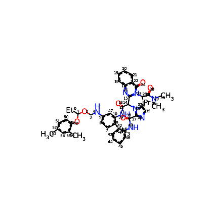 CCC(OCNc1ccc(C)c(NC(=O)C(c2nc3ccccc3c(=O)n2C(C(=O)N(C)C)C(C)C)n2ccnc2C(=O)Nc2ccccc2)c1)Oc1ccc(C)cc1C